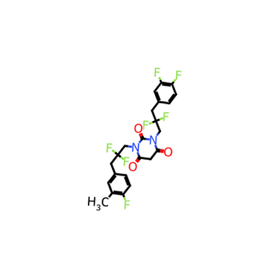 Cc1cc(CC(F)(F)CN2C(=O)CC(=O)N(CC(F)(F)Cc3ccc(F)c(F)c3)C2=O)ccc1F